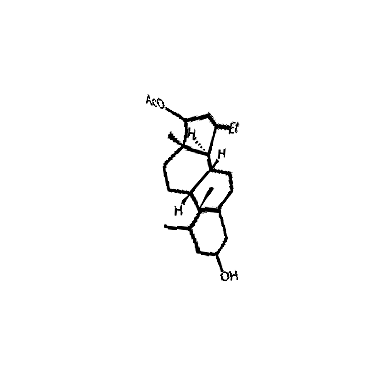 CCC1CC(OC(C)=O)[C@@]2(C)CC[C@@H]3[C@@H](CCC4CC(O)CC(C)[C@@]43C)[C@H]12